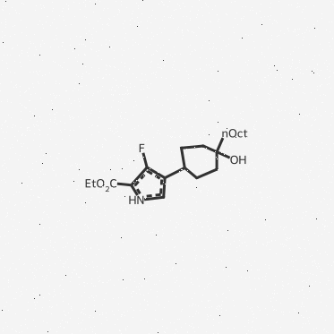 CCCCCCCCC1(O)CCC(c2c[nH]c(C(=O)OCC)c2F)CC1